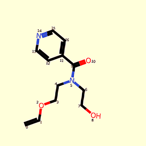 C=COCCN(CCO)C(=O)c1ccncc1